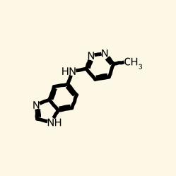 Cc1ccc(Nc2ccc3[nH]cnc3c2)nn1